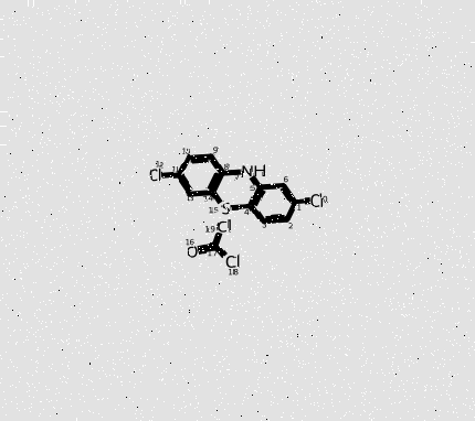 Clc1ccc2c(c1)Nc1ccc(Cl)cc1S2.O=C(Cl)Cl